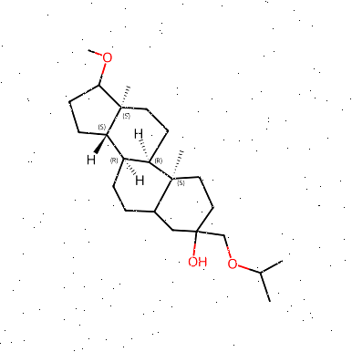 COC1CC[C@H]2[C@@H]3CCC4CC(O)(COC(C)C)CC[C@]4(C)[C@@H]3CC[C@]12C